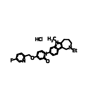 CCN1CCCc2c(c3ccc(-n4ccc(OCc5ccc(F)cn5)cc4=O)cc3n2C)C1.Cl